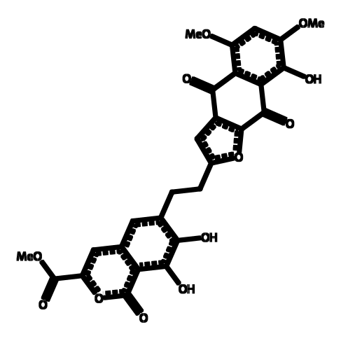 COC(=O)c1cc2cc(CCc3cc4c(o3)C(=O)c3c(O)c(OC)cc(OC)c3C4=O)c(O)c(O)c2c(=O)o1